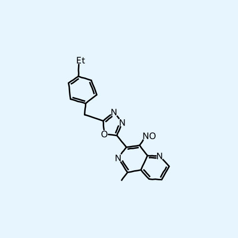 CCc1ccc(Cc2nnc(-c3nc(C)c4cccnc4c3N=O)o2)cc1